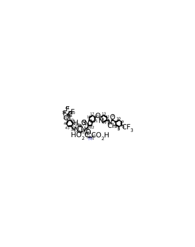 CN(C(=O)c1ccc(C(F)(F)F)cc1)c1ccc(Oc2ccc3c(c2)cc(C(=O)N2CCN(Cc4ccc(OC(F)(F)C(F)F)cc4)CC2)n3C)nc1.O=C(O)/C=C\C(=O)O